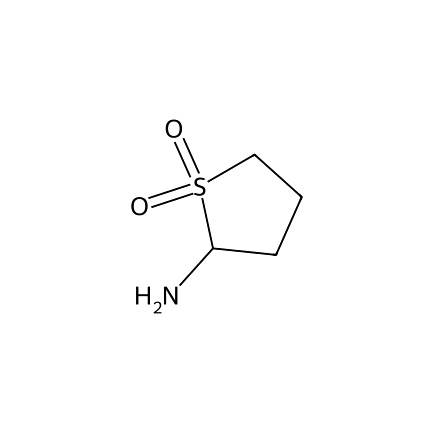 NC1CCCS1(=O)=O